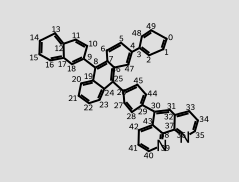 c1ccc(-c2ccc3c(-c4ccc5ccccc5c4)c4ccccc4c(-c4ccc(-c5cc6cccnc6c6ncccc56)cc4)c3c2)cc1